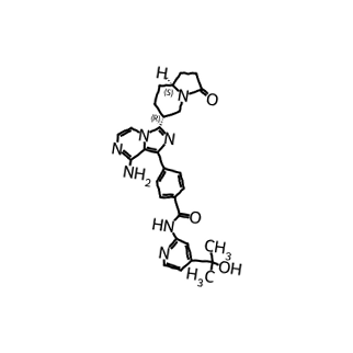 CC(C)(O)c1ccnc(NC(=O)c2ccc(-c3nc([C@@H]4CC[C@H]5CCC(=O)N5C4)n4ccnc(N)c34)cc2)c1